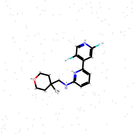 N#CC1(CNc2cccc(-c3cc(F)ncc3F)n2)CCOCC1